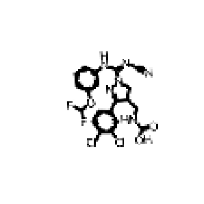 N#C/N=C(/Nc1cccc(OC(F)F)c1)N1CC(CNC(=O)O)C(c2ccc(Cl)c(Cl)c2)=N1